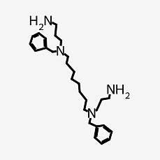 NCCCN(CCCCCCCCN(CCCN)Cc1ccccc1)Cc1ccccc1